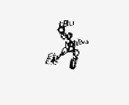 CCCCn1c(-c2cccc(Oc3ccc(C(C)(C)C)cc3)c2)nc2c(OCCCN(CC)CC)cc(OCCN3CCCC3)cc21